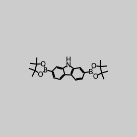 CC1(C)OB(c2ccc3c(c2)[nH]c2cc(B4OC(C)(C)C(C)(C)O4)ccc23)OC1(C)C